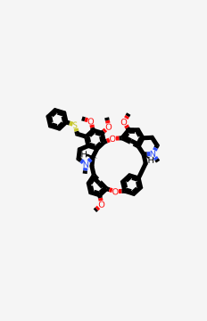 COc1ccc2cc1Oc1ccc(cc1)C[C@H]1c3cc(c(OC)cc3CCN1C)Oc1c(OC)c(OC)c(CSc3ccccc3)c3c1[C@H](C2)N(C)CC3